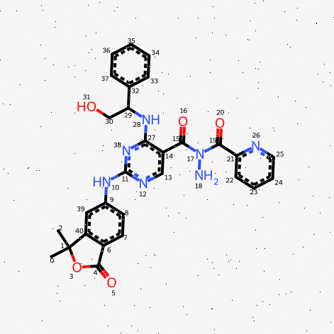 CC1(C)OC(=O)c2ccc(Nc3ncc(C(=O)N(N)C(=O)c4ccccn4)c(NC(CO)c4ccccc4)n3)cc21